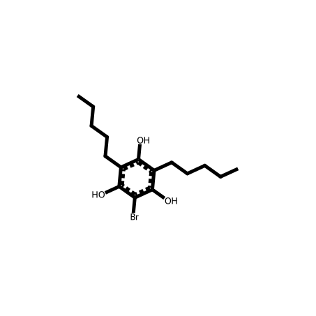 CCCCCc1c(O)c(Br)c(O)c(CCCCC)c1O